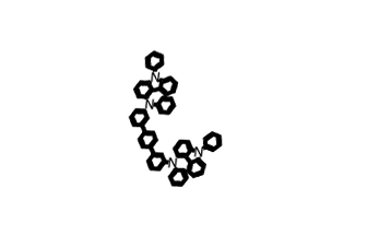 c1ccc(N(c2cccc(-c3ccc(-c4cccc(N(c5ccccc5)c5cccc6c5c5ccccc5n6-c5ccccc5)c4)cc3)c2)c2cccc3c2c2ccccc2n3-c2ccccc2)cc1